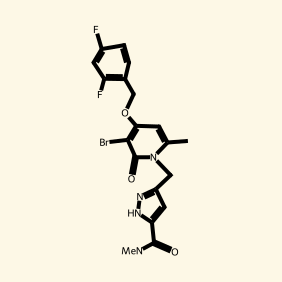 CNC(=O)c1cc(Cn2c(C)cc(OCc3ccc(F)cc3F)c(Br)c2=O)n[nH]1